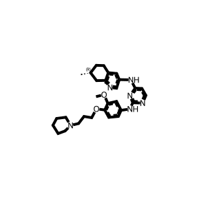 COc1cc(Nc2nccc(Nc3cnc4c(c3)CC[C@@H](C)C4)n2)ccc1OCCCN1CCCCC1